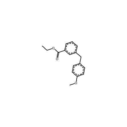 CCOC(=O)c1cccc(Cc2ccc(OC)cc2)c1